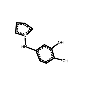 Oc1ccc(Nn2cccc2)cc1O